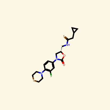 O=C1O[C@@H](CNC(=S)CC2CC2)CN1c1ccc(N2CCSCC2)c(F)c1